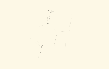 COC(CC(=O)O)C(C)=N.Cl